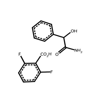 NC(=O)C(O)c1ccccc1.O=C(O)c1c(F)cccc1F